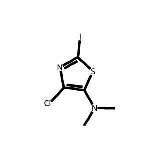 CN(C)c1sc(I)nc1Cl